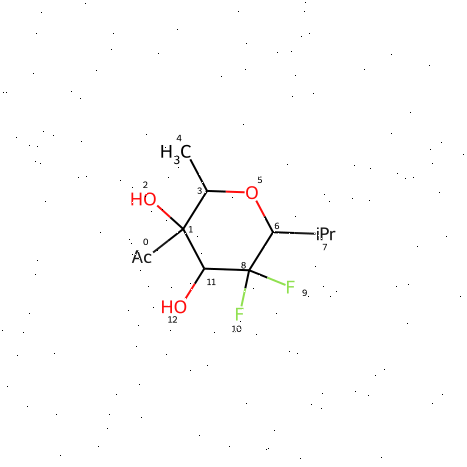 CC(=O)C1(O)C(C)OC(C(C)C)C(F)(F)C1O